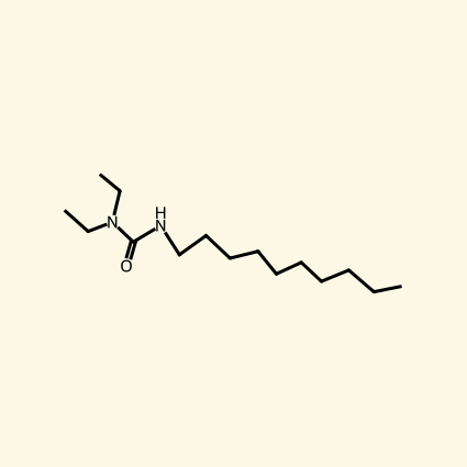 CCCCCCCCCCNC(=O)N(CC)CC